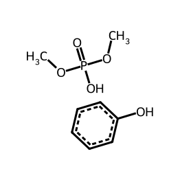 COP(=O)(O)OC.Oc1ccccc1